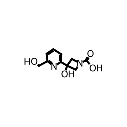 O=C(O)N1CC(O)(c2cccc(CO)n2)C1